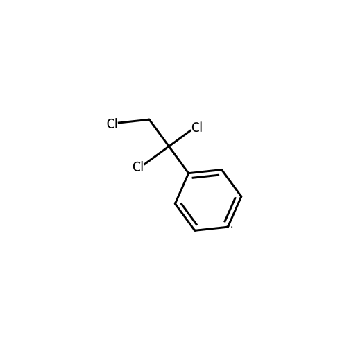 ClCC(Cl)(Cl)c1cc[c]cc1